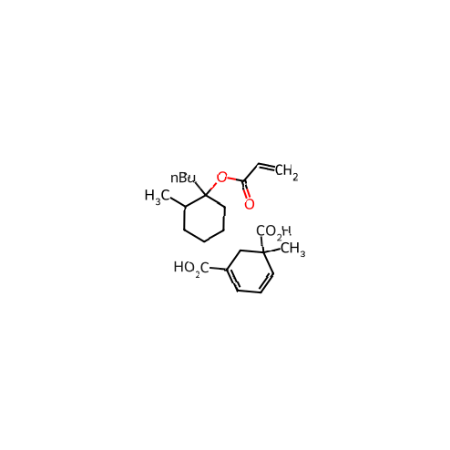 C=CC(=O)OC1(CCCC)CCCCC1C.CC1(C(=O)O)C=CC=C(C(=O)O)C1